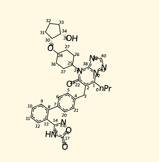 CCCc1c(Cc2ccc(-c3ccccc3-c3noc(=O)[nH]3)cc2)c(=O)n(C2CCC(O[C@@H]3CCC[C@@H]3O)CC2)c2ncnn12